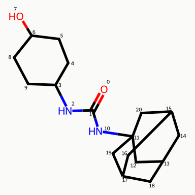 O=C(NC1CCC(O)CC1)NC12CC3CC(CC(C3)C1)C2